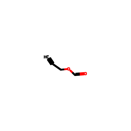 C#CCOC=O